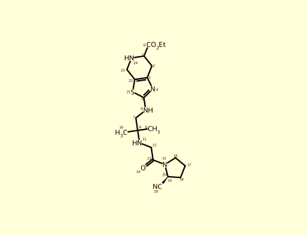 CCOC(=O)C1Cc2nc(NCC(C)(C)NCC(=O)N3CCC[C@H]3C#N)sc2CN1